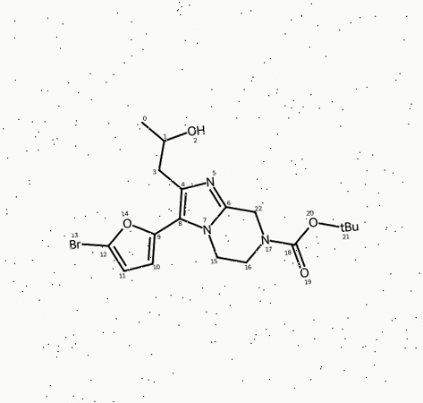 CC(O)Cc1nc2n(c1-c1ccc(Br)o1)CCN(C(=O)OC(C)(C)C)C2